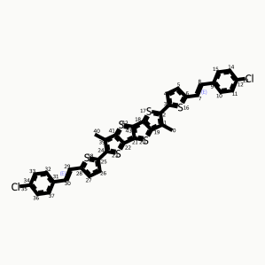 Cc1c(-c2ccc(/C=C/c3ccc(Cl)cc3)s2)sc2c1sc1c3sc(-c4ccc(/C=C/c5ccc(Cl)cc5)s4)c(C)c3sc21